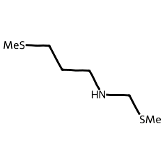 CSCCCNCSC